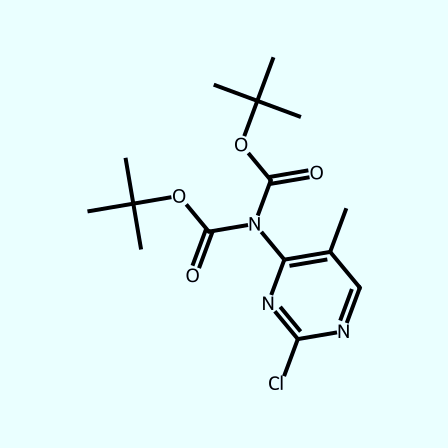 Cc1cnc(Cl)nc1N(C(=O)OC(C)(C)C)C(=O)OC(C)(C)C